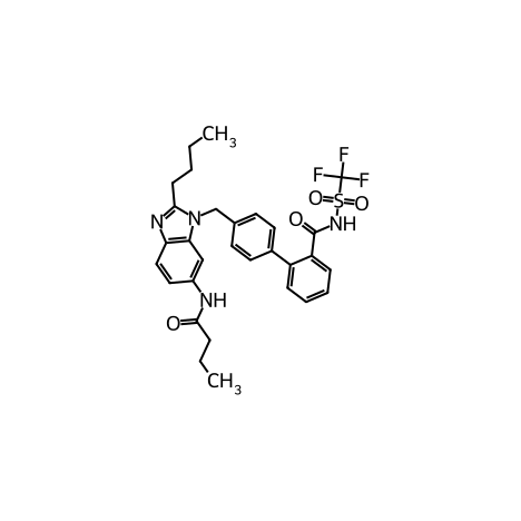 CCCCc1nc2ccc(NC(=O)CCC)cc2n1Cc1ccc(-c2ccccc2C(=O)NS(=O)(=O)C(F)(F)F)cc1